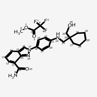 COC(=O)C(F)(F)F.NC(=O)c1cccc2cn(-c3ccc(NCC4(CO)CCCCC4)cc3)nc12